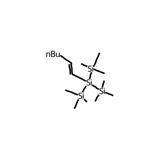 CCCC/C=C/[Si]([Si](C)(C)C)([Si](C)(C)C)[Si](C)(C)C